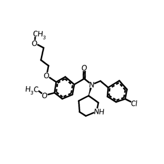 COCCCOc1cc(C(=O)N(Cc2ccc(Cl)cc2)[C@@H]2CCCNC2)ccc1OC